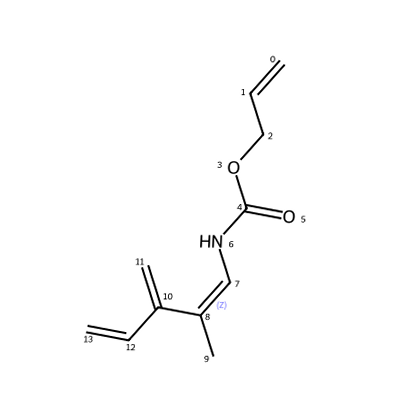 C=CCOC(=O)N/C=C(/C)C(=C)C=C